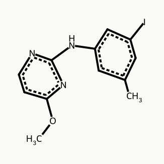 COc1ccnc(Nc2cc(C)cc(I)c2)n1